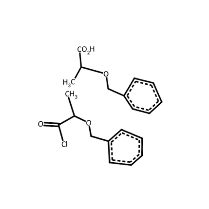 CC(OCc1ccccc1)C(=O)Cl.CC(OCc1ccccc1)C(=O)O